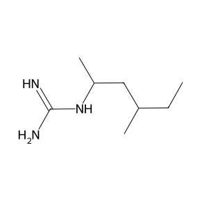 CCC(C)CC(C)NC(=N)N